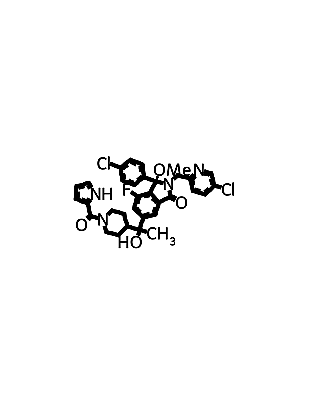 CO[C@]1(c2ccc(Cl)cc2)c2c(F)cc(C(C)(O)C3CCN(C(=O)c4ccc[nH]4)CC3)cc2C(=O)N1Cc1ccc(Cl)cn1